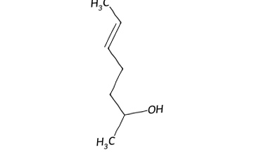 C/C=C/CCC(C)O